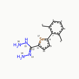 Cc1cccc(C)c1-c1ccc(/C(=N/N)NN)s1